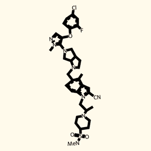 CNS(=O)(=O)C1CCN(C(C)Cn2c(C#N)cc3c(C)c(CN4CCC5CN(c6c(Oc7ccc(Cl)cc7F)cnn6C)CC54)ccc32)CC1